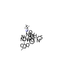 COc1cccc(O)c1-n1c(-c2ccc(C)o2)nnc1N(/C=C/S(C)(C)C)S(=O)(=O)[C@@H](C)[C@@H](O)c1cscn1